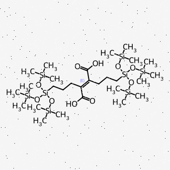 C[Si](C)(C)O[Si](CCC/C(C(=O)O)=C(/CCC[Si](O[Si](C)(C)C)(O[Si](C)(C)C)O[Si](C)(C)C)C(=O)O)(O[Si](C)(C)C)O[Si](C)(C)C